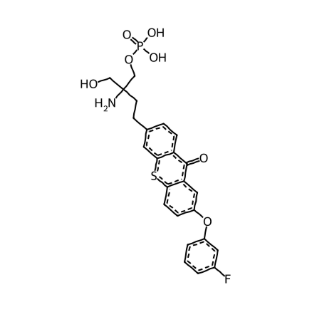 NC(CO)(CCc1ccc2c(=O)c3cc(Oc4cccc(F)c4)ccc3sc2c1)COP(=O)(O)O